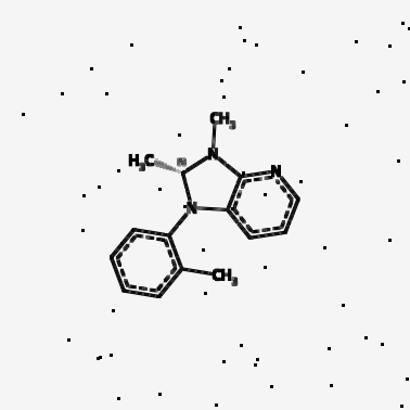 Cc1ccccc1N1c2cccnc2N(C)[C@H]1C